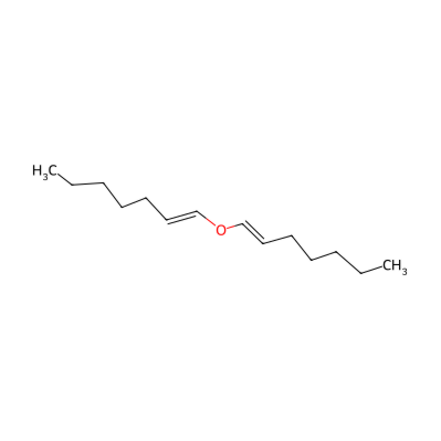 CCCCC/C=C/O/C=C/CCCCC